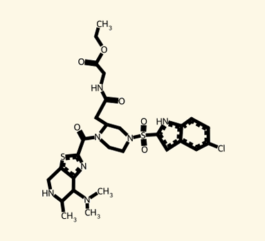 CCOC(=O)CNC(=O)CC1CN(S(=O)(=O)c2cc3cc(Cl)ccc3[nH]2)CCN1C(=O)c1nc2c(s1)CNC(C)C2N(C)C